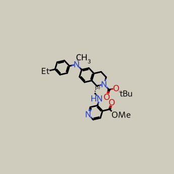 CCc1ccc(N(C)c2ccc3c(c2)CCN(C(=O)OC(C)(C)C)[C@@H]3CNc2cnccc2C(=O)OC)cc1